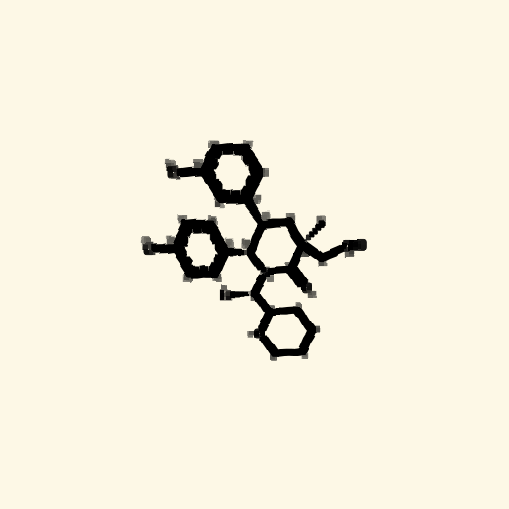 CC[C@@H](C1CCCCO1)N1C(=O)[C@](C)(CC=O)C[C@H](c2cccc(Cl)c2)[C@H]1c1ccc(Cl)cc1